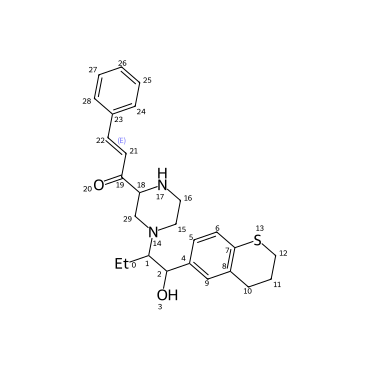 CCC(C(O)c1ccc2c(c1)CCCS2)N1CCNC(C(=O)/C=C/c2ccccc2)C1